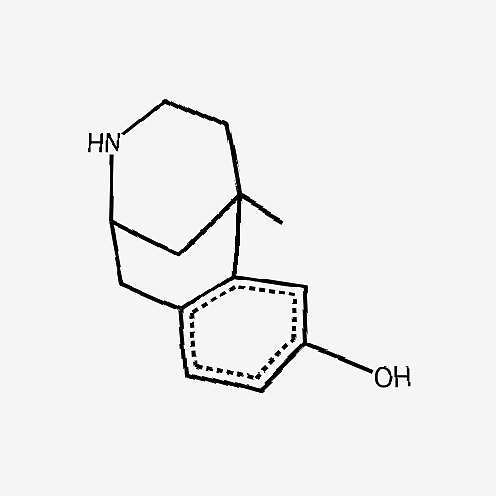 CC12CCNC(Cc3ccc(O)cc31)C2